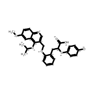 COc1ccc2ncc(COc3ccccc3CC(Oc3ccc(Cl)cc3)C(=O)O)c(OC(C)C)c2c1